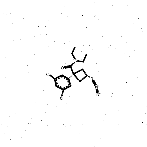 CCN(CC)C(=O)[C@]1(c2cc(Cl)cc(Cl)c2)C[C@@H](N=[N+]=[N-])C1